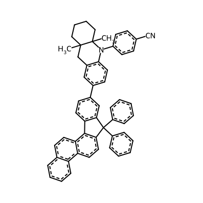 CC12CCCCC1(C)N(c1ccc(C#N)cc1)c1ccc(-c3ccc4c(c3)C(c3ccccc3)(c3ccccc3)c3ccc5c(ccc6ccccc65)c3-4)cc1C2